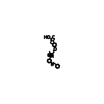 Cc1oc(-c2cccc(N(C)Cc3ccccc3)c2)nc1CCOc1ccc2c(c1)CC[C@H]2CC(=O)O